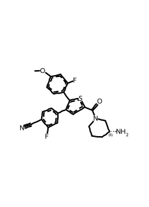 COc1ccc(-c2sc(C(=O)N3CCC[C@@H](N)C3)cc2-c2ccc(C#N)c(F)c2)c(F)c1